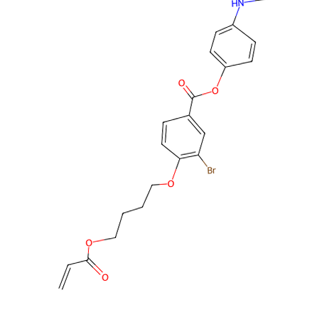 C=CC(=O)OCCCCOc1ccc(C(=O)Oc2ccc(NC)cc2)cc1Br